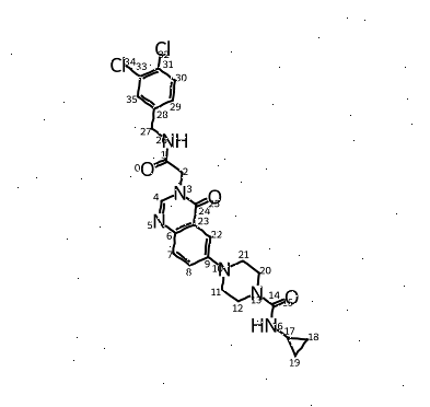 O=C(Cn1cnc2ccc(N3CCN(C(=O)NC4CC4)CC3)cc2c1=O)NCc1ccc(Cl)c(Cl)c1